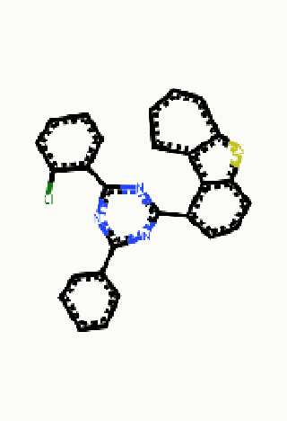 Clc1ccccc1-c1nc(-c2ccccc2)nc(-c2cccc3sc4ccccc4c23)n1